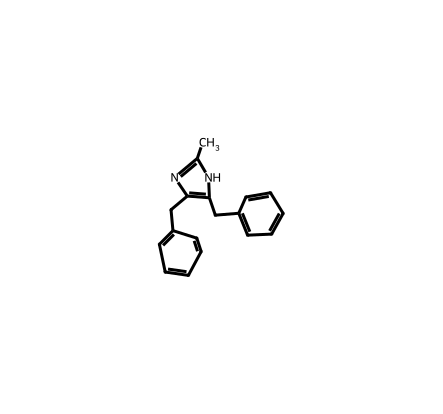 Cc1nc(Cc2ccccc2)c(Cc2ccccc2)[nH]1